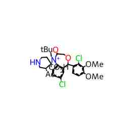 COc1ccc(C2OCC(=O)[N@@+](CC(C)(C)C)([C@@]3(C(=O)O)CCNC[C@@H]3C(C)=O)c3ccc(Cl)cc32)c(Cl)c1OC